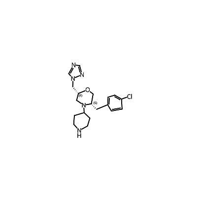 Clc1ccc(C[C@H]2CO[C@@H](Cn3cncn3)CN2C2CCNCC2)cc1